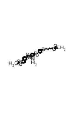 C=CC(=O)OCCCCCCOc1ccc(C(=O)Oc2ccc(OC(=O)c3ccc4cc(OC(=O)C=C)ccc4c3)c(N)c2)cc1